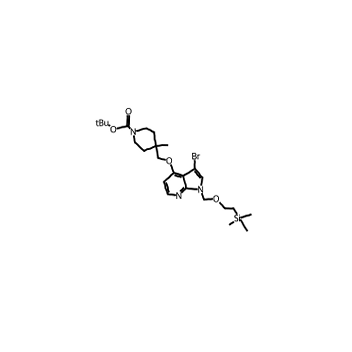 CC1(COc2ccnc3c2c(Br)cn3COCC[Si](C)(C)C)CCN(C(=O)OC(C)(C)C)CC1